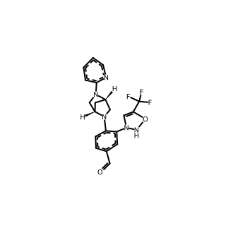 O=Cc1ccc(N2C[C@@H]3C[C@H]2CN3c2ccccn2)c(N2C=C(C(F)(F)F)ON2)c1